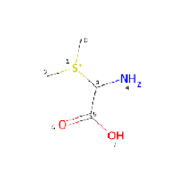 C[S+](C)C(N)C(=O)O